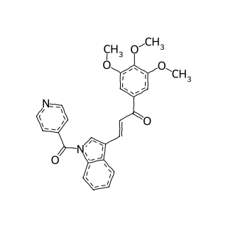 COc1cc(C(=O)/C=C/c2cn(C(=O)c3ccncc3)c3ccccc23)cc(OC)c1OC